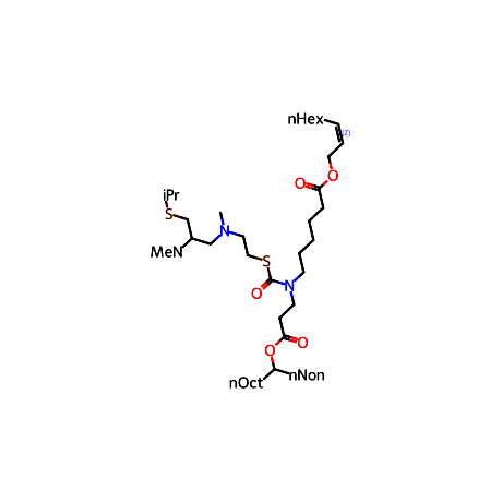 CCCCCC/C=C\COC(=O)CCCCCN(CCC(=O)OC(CCCCCCCC)CCCCCCCCC)C(=O)SCCN(C)CC(CSC(C)C)NC